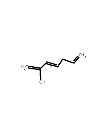 C=CC/C=C/C(=C)O